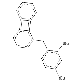 CC(C)(C)c1ccc(Cc2cccc3c2=c2ccccc2=3)c(C(C)(C)C)c1